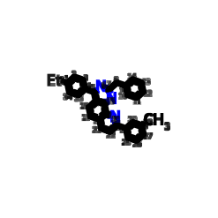 CCc1ccc(-c2nc(Cc3ccccc3)nc3c2ccc2ccc(-c4cccc(C)c4)nc23)cc1